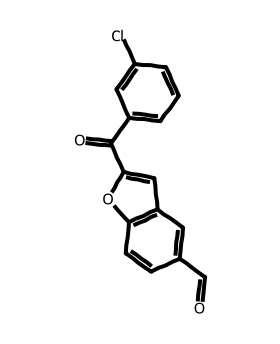 O=Cc1ccc2oc(C(=O)c3cccc(Cl)c3)cc2c1